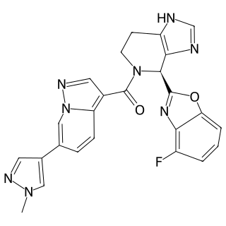 Cn1cc(-c2ccc3c(C(=O)N4CCc5[nH]cnc5[C@H]4c4nc5c(F)cccc5o4)cnn3c2)cn1